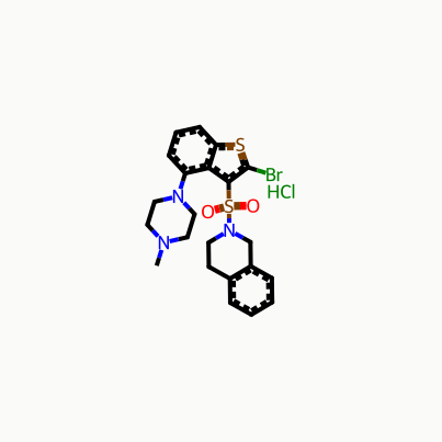 CN1CCN(c2cccc3sc(Br)c(S(=O)(=O)N4CCc5ccccc5C4)c23)CC1.Cl